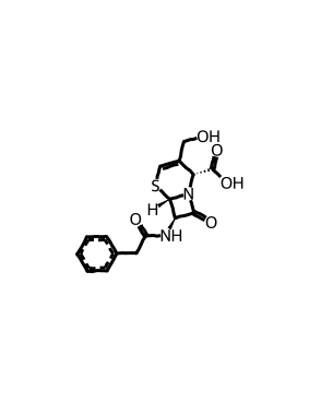 O=C(Cc1ccccc1)N[C@@H]1C(=O)N2[C@@H](C(=O)O)C(CO)=CS[C@@H]12